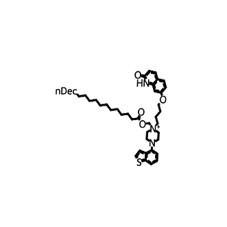 CCCCCCCCCCCCCCCCCCCCCC(=O)OC[N+]1(CCCCOc2ccc3ccc(=O)[nH]c3c2)CCN(c2cccc3sccc23)CC1